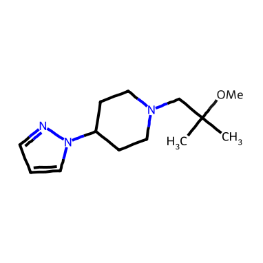 COC(C)(C)CN1CCC(n2cccn2)CC1